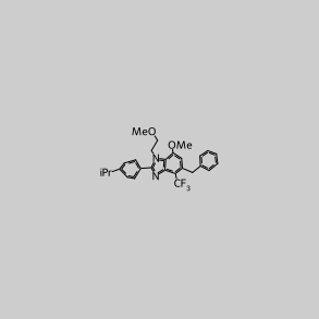 COCCn1c(-c2ccc(C(C)C)cc2)nc2c(C(F)(F)F)c(Cc3ccccc3)cc(OC)c21